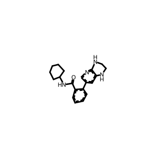 O=C(NC1CCCCC1)c1ccccc1-c1cnc2c(c1)NCCN2